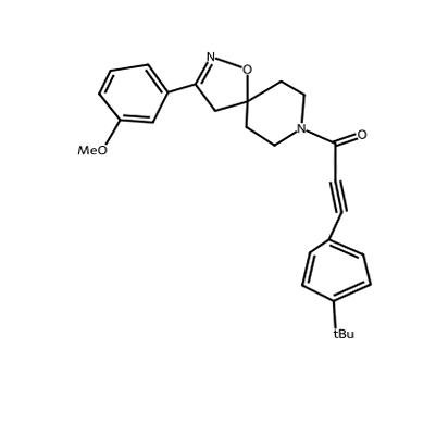 COc1cccc(C2=NOC3(CCN(C(=O)C#Cc4ccc(C(C)(C)C)cc4)CC3)C2)c1